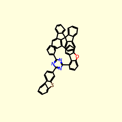 c1ccc(-c2nc(-c3ccc4c(c3)sc3ccccc34)nc(-c3cccc4oc5ccc(-c6cccc7c6C6(c8ccccc8-c8ccccc86)c6ccccc6-7)cc5c34)n2)cc1